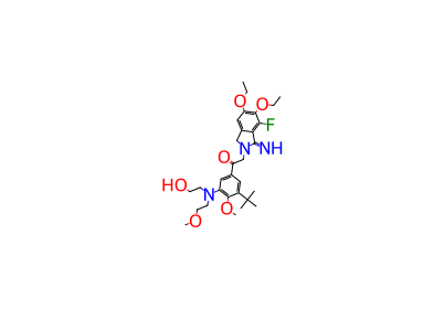 CCOc1cc2c(c(F)c1OCC)C(=N)N(CC(=O)c1cc(N(CCO)CCOC)c(OC)c(C(C)(C)C)c1)C2